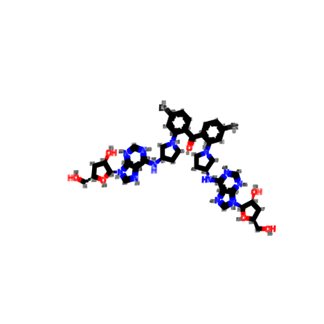 CCc1ccc(C(=O)c2ccc(CC)cc2N2CC[C@@H](Nc3ncnc4c3ncn4[C@@H]3O[C@H](CO)C[C@H]3O)C2)c(N2CC[C@@H](Nc3ncnc4c3ncn4[C@@H]3O[C@H](CO)C[C@H]3O)C2)c1